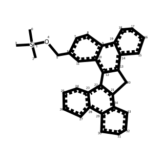 C[Si](C)(C)OCc1ccc2c(c1)c1c(c3ccccc32)Cc2c-1c1ccccc1c1ccccc21